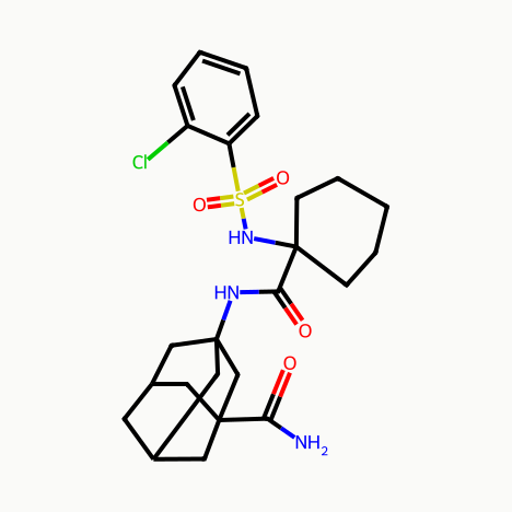 NC(=O)C12CC3CC(CC(NC(=O)C4(NS(=O)(=O)c5ccccc5Cl)CCCCC4)(C3)C1)C2